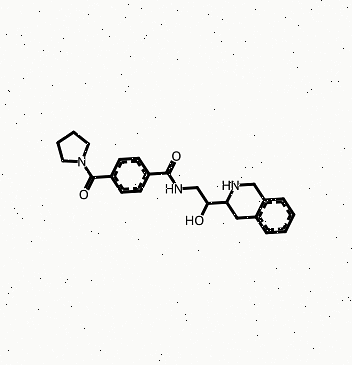 O=C(NCC(O)C1Cc2ccccc2CN1)c1ccc(C(=O)N2CCCC2)cc1